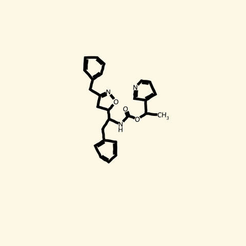 CC(OC(=O)NC(Cc1ccccc1)C1CC(Cc2ccccc2)=NO1)c1cccnc1